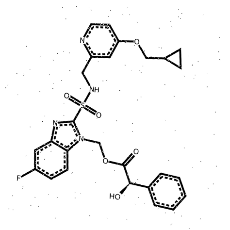 O=C(OCn1c(S(=O)(=O)NCc2cc(OCC3CC3)ccn2)nc2cc(F)ccc21)[C@H](O)c1ccccc1